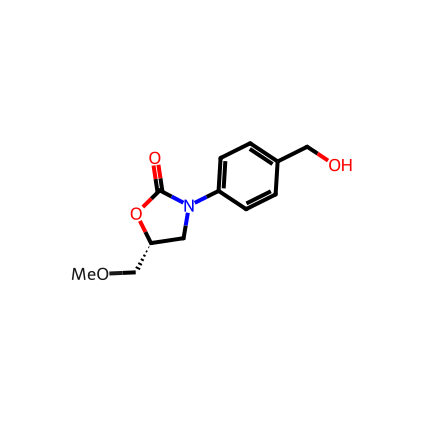 COC[C@H]1CN(c2ccc(CO)cc2)C(=O)O1